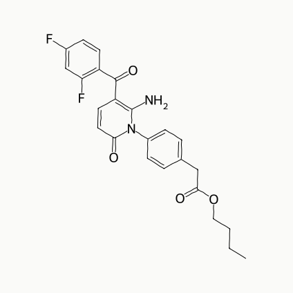 CCCCOC(=O)Cc1ccc(-n2c(N)c(C(=O)c3ccc(F)cc3F)ccc2=O)cc1